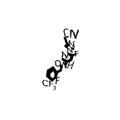 N#CCc1cn(-c2ncc(NC(=O)Cc3cccc(C(F)(F)F)c3F)cc2F)cn1